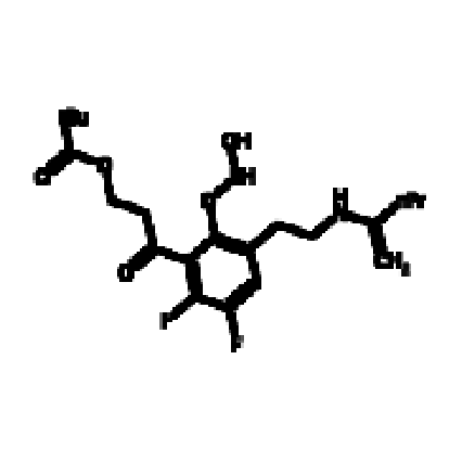 C=C(CCC)NCCc1cc(F)c(F)c(C(=O)CCOC(=O)C(C)(C)C)c1OBO